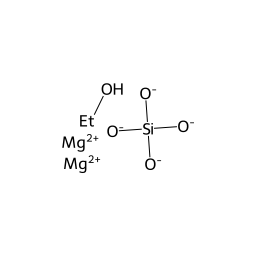 CCO.[Mg+2].[Mg+2].[O-][Si]([O-])([O-])[O-]